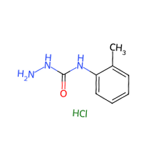 Cc1ccccc1NC(=O)NN.Cl